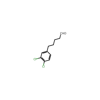 O=CCCCCc1ccc(Cl)c(Cl)c1